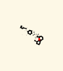 NC(=S)c1ccccc1.NC(=S)c1ccccc1.NS(=O)(=O)c1cc(C(=O)O)c(NCc2ccco2)cc1Cl